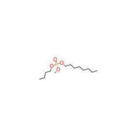 CCCCCCCCOP(=O)(OC)OCCCC